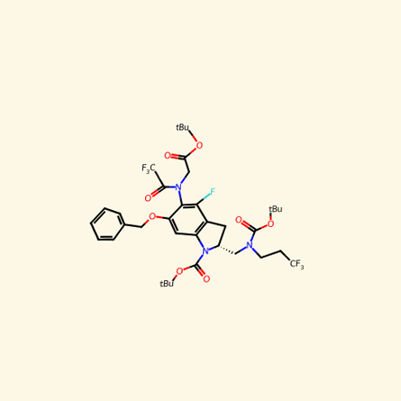 CC(C)(C)OC(=O)CN(C(=O)C(F)(F)F)c1c(OCc2ccccc2)cc2c(c1F)C[C@H](CN(CCC(F)(F)F)C(=O)OC(C)(C)C)N2C(=O)OC(C)(C)C